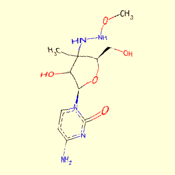 CONNC1(C)C(O)[C@H](n2ccc(N)nc2=O)O[C@@H]1CO